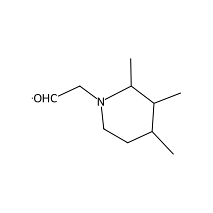 CC1CCN(C[C]=O)C(C)C1C